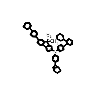 CC1(C)c2cc(-c3ccc(-c4ccccc4)cc3)ccc2-c2ccc(N(c3ccc(-c4ccccc4C4CCCCC4)cc3)c3ccc(C4CC5CCC4C5)cc3)cc21